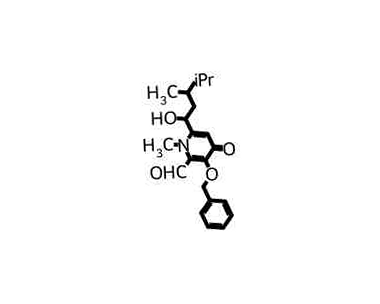 CC(C)C(C)CC(O)c1cc(=O)c(OCc2ccccc2)c(C=O)n1C